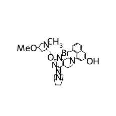 CO[C@@H]1C[C@@H](COc2nc3c(c(N4CC5CCC(C4)N5)n2)CCN(c2cc(O)cc4cccc(Br)c24)C3)N(C)C1